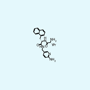 CC(C)[C@@H](N)C(=O)N[C@@H](Cc1cccc2ccccc12)C(=O)NCc1ccc(N)nc1